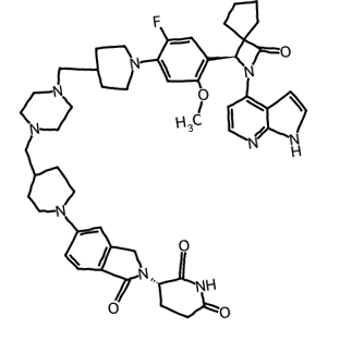 COc1cc(N2CCC(CN3CCN(CC4CCN(c5ccc6c(c5)CN([C@H]5CCC(=O)NC5=O)C6=O)CC4)CC3)CC2)c(F)cc1[C@@H]1N(c2ccnc3[nH]ccc23)C(=O)C12CCCC2